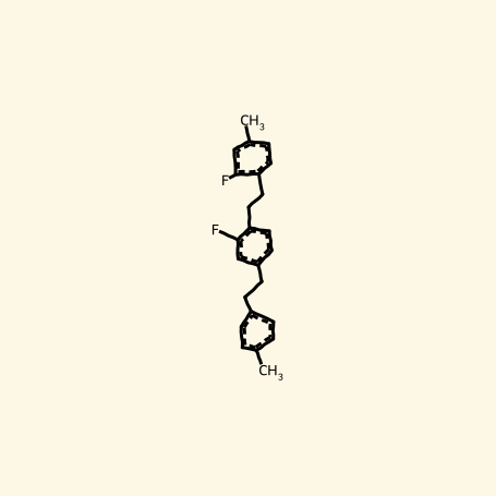 Cc1ccc(CCc2ccc(CCc3ccc(C)cc3F)c(F)c2)cc1